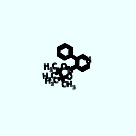 CC1(C)ON(c2ccncc2-c2ccccc2)OC1(C)C